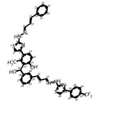 Cc1c(-c2csc(N/N=C/C=C/c3ccccc3)n2)ccc(O)c1C(O)c1cccc(C=C/C=N/Nc2nc(-c3ccc(C(F)(F)F)cc3)cs2)c1